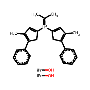 CC(C)O.CC(C)O.CC1=C(c2ccccc2)C[C]([Hf]([C]2=CC(C)=C(c3ccccc3)C2)=[C](C)C)=C1